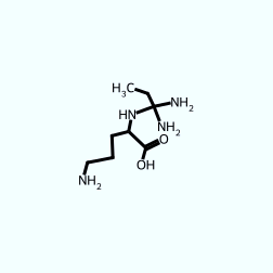 CCC(N)(N)NC(CCCN)C(=O)O